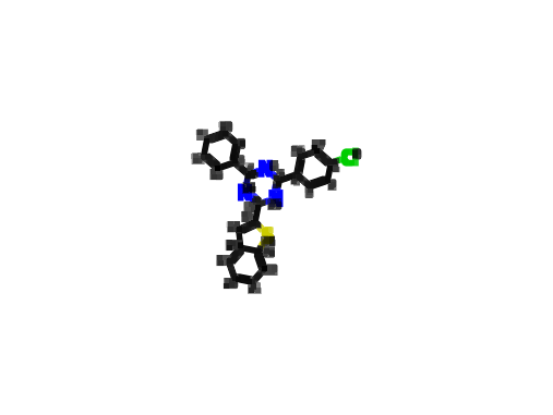 Clc1ccc(-c2nc(-c3ccccc3)nc(-c3cc4ccccc4s3)n2)cc1